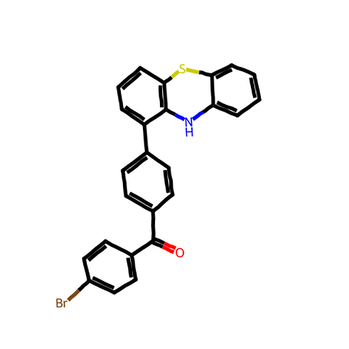 O=C(c1ccc(Br)cc1)c1ccc(-c2cccc3c2Nc2ccccc2S3)cc1